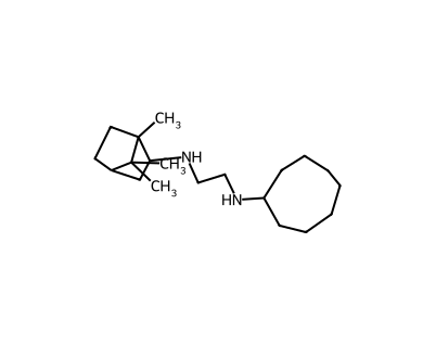 CC1(C)C2CCC1(C)C(NCCNC1CCCCCCC1)C2